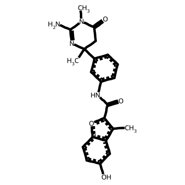 Cc1c(C(=O)Nc2cccc(C3(C)CC(=O)N(C)C(N)=N3)c2)oc2ccc(O)cc12